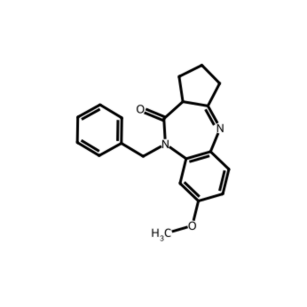 COc1ccc2c(c1)N(Cc1ccccc1)C(=O)C1CCCC1=N2